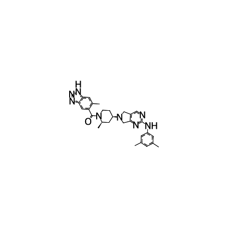 Cc1cc(C)cc(Nc2ncc3c(n2)CN([C@@H]2CCN(C(=O)c4cc5nn[nH]c5cc4C)[C@H](C)C2)C3)c1